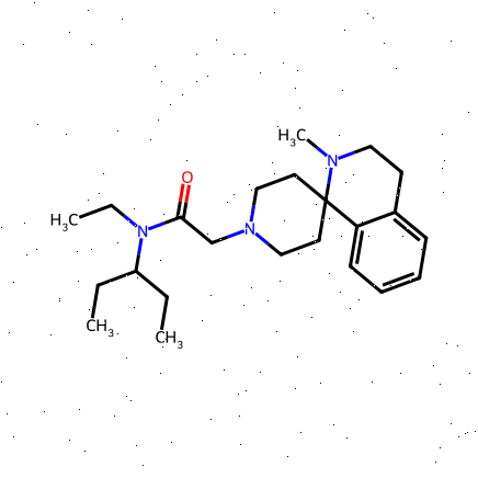 CCC(CC)N(CC)C(=O)CN1CCC2(CC1)c1ccccc1CCN2C